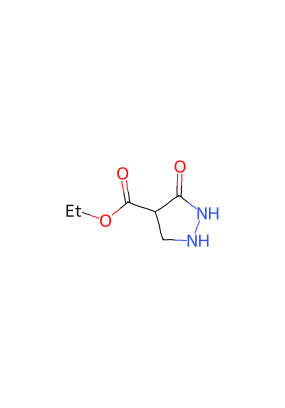 CCOC(=O)C1CNNC1=O